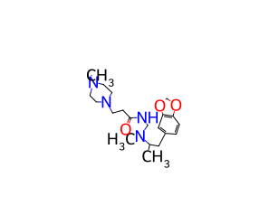 CC(Cc1ccc2c(c1)OCO2)N(C)CNC(=O)CCN1CCN(C)CC1